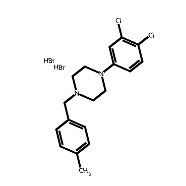 Br.Br.Cc1ccc(CN2CCN(c3ccc(Cl)c(Cl)c3)CC2)cc1